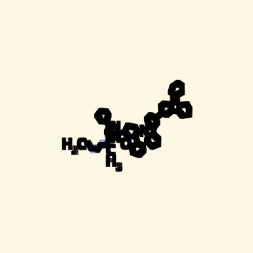 C=C/C=C\C=C(/C)c1cc(-c2ccccc2)nc(-c2ccc(-n3c4ccccc4c4cc(-c5ccc6c(c5)c5ccccc5n6-c5ccccc5)ccc43)c3c2oc2ccccc23)n1